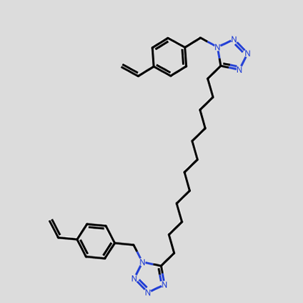 C=Cc1ccc(Cn2nnnc2CCCCCCCCCCCCc2nnnn2Cc2ccc(C=C)cc2)cc1